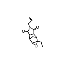 C=CCN1C(=O)C2C3CC(C2C1=O)C1(CC)OC31